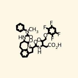 CN(C(=O)NC1CCc2cccc3c2N(C1=O)C(C(=O)NC(CC(=O)O)C(=O)COc1c(F)c(F)cc(F)c1F)C3)c1ccccc1